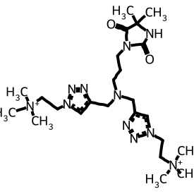 CC1(C)NC(=O)N(CCCN(Cc2cn(CC[N+](C)(C)C)nn2)Cc2cn(CC[N+](C)(C)C)nn2)C1=O